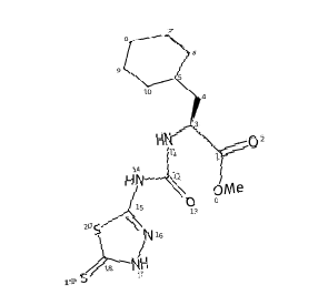 COC(=O)[C@H](CC1CCCCC1)NC(=O)Nc1n[nH]c(=S)s1